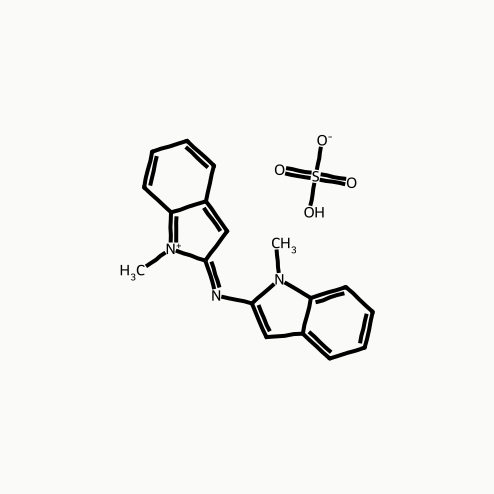 Cn1c(N=C2C=c3ccccc3=[N+]2C)cc2ccccc21.O=S(=O)([O-])O